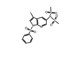 CS(=O)(=O)N(c1cnc2c(c1)c(I)cn2S(=O)(=O)c1ccccc1)S(C)(=O)=O